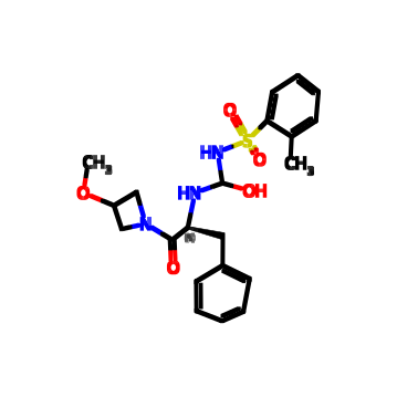 COC1CN(C(=O)[C@H](Cc2ccccc2)NC(O)NS(=O)(=O)c2ccccc2C)C1